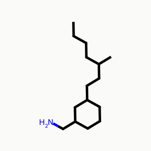 CCCCC(C)CCC1CCCC(CN)C1